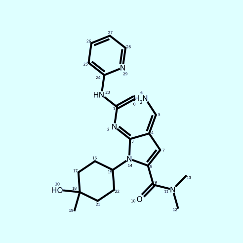 C=C(/N=C1\C(=C/N)C=C(C(=O)N(C)C)N1C1CCC(C)(O)CC1)Nc1ccccn1